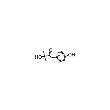 CC(C)(O)C(=O)Cc1ccc(O)cc1